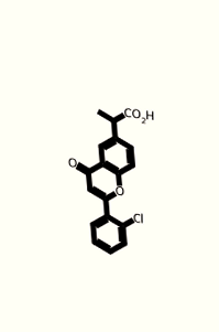 CC(C(=O)O)c1ccc2oc(-c3ccccc3Cl)cc(=O)c2c1